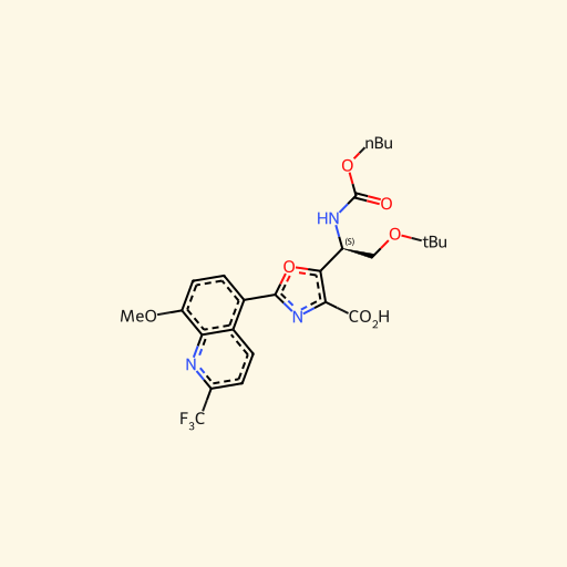 CCCCOC(=O)N[C@@H](COC(C)(C)C)c1oc(-c2ccc(OC)c3nc(C(F)(F)F)ccc23)nc1C(=O)O